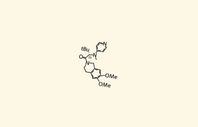 COc1cc2c(cc1OC)CN(C(=O)[C@@H](N(C)c1ccncc1)C(C)(C)C)CC2